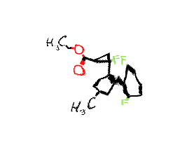 CCOC(=O)C1CC1(F)c1ccc(C)cc1-c1c(F)cccc1F